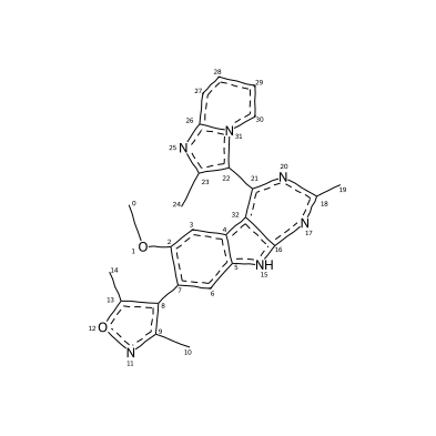 COc1cc2c(cc1-c1c(C)noc1C)[nH]c1nc(C)nc(-c3c(C)nc4ccccn34)c12